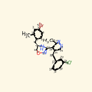 Cc1cc(Br)ccc1C[C@@H]1CON=C(c2c(Cc3cccc(Cl)c3)cnnc2C)N1